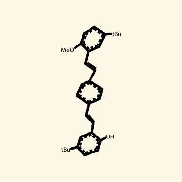 COc1ccc(C(C)(C)C)cc1/C=C/c1ccc(/C=C/c2cc(C(C)(C)C)ccc2O)cc1